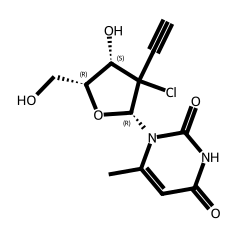 C#CC1(Cl)[C@@H](O)[C@@H](CO)O[C@H]1n1c(C)cc(=O)[nH]c1=O